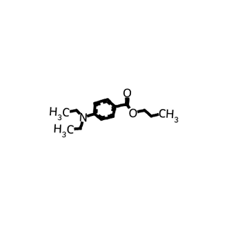 CCCOC(=O)c1ccc(N(CC)CC)cc1